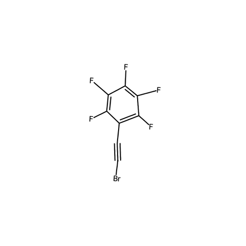 Fc1c(F)c(F)c(C#CBr)c(F)c1F